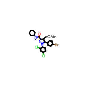 COCc1c(C(=O)N(C)C2CCCCC2)nn(-c2ccc(Cl)cc2Cl)c1-c1ccc(Br)cc1